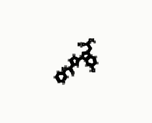 CC(C)Cc1cn(-c2nc(C(=O)Nc3cccnc3)cs2)c2cc(Cl)ccc12